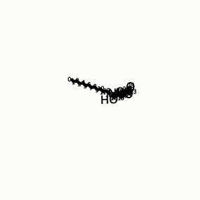 CCCCCCCCCCCCCCNC(O)c1ccc(CS(C)(=O)=O)o1